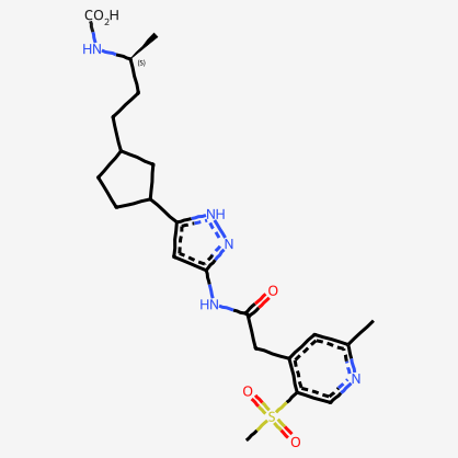 Cc1cc(CC(=O)Nc2cc(C3CCC(CC[C@H](C)NC(=O)O)C3)[nH]n2)c(S(C)(=O)=O)cn1